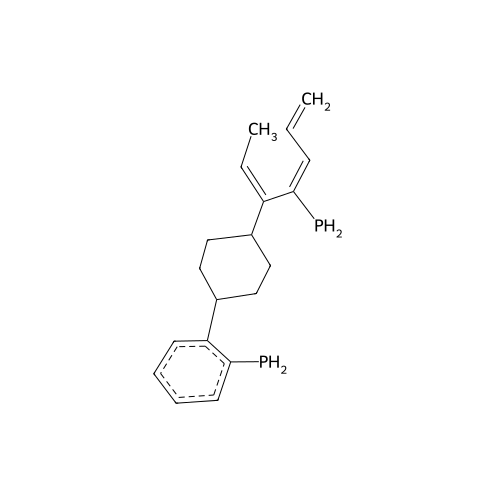 C=C/C=C(P)\C(=C/C)C1CCC(c2ccccc2P)CC1